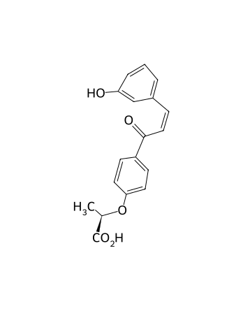 C[C@@H](Oc1ccc(C(=O)/C=C\c2cccc(O)c2)cc1)C(=O)O